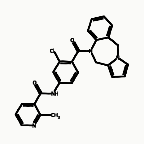 Cc1ncccc1C(=O)Nc1ccc(C(=O)N2Cc3cccn3Cc3ccccc32)c(Cl)c1